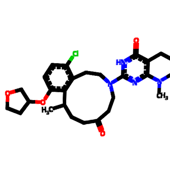 CC1CCC(=O)CCN(c2nc3c(c(=O)[nH]2)CCCN3C)CCc2c(Cl)ccc(OC3CCOC3)c21